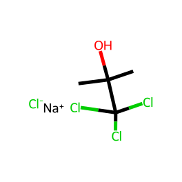 CC(C)(O)C(Cl)(Cl)Cl.[Cl-].[Na+]